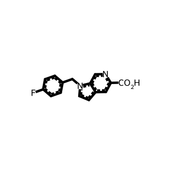 O=C(O)c1cc2ccn(Cc3ccc(F)cc3)c2cn1